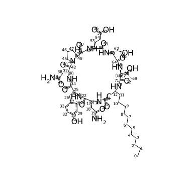 CCCCCCCCCCCCC1CC(=O)N[C@@H](CC(N)=O)C(=O)N[C@H](Cc2ccc(O)cc2)C(=O)N[C@H](CC(N)=O)C(=O)N2CCC[C@H]2C(=O)N[C@@H](CCC(=O)O)C(=O)N[C@H](CO)C(=O)N[C@@H]([C@@H](C)O)C(=O)N1